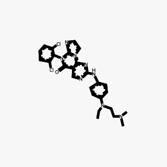 CCN(CCN(C)C)c1ccc(Nc2ncc3c(=O)n(-c4c(Cl)cccc4Cl)c4nccn4c3n2)cc1